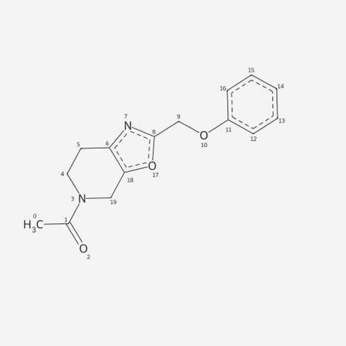 CC(=O)N1CCc2nc(COc3ccccc3)oc2C1